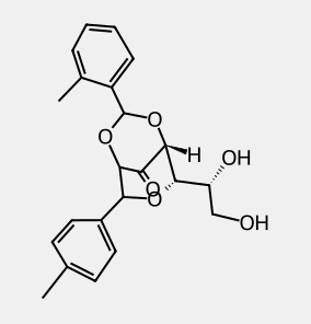 Cc1ccc(C2O[C@@H]([C@H](O)CO)[C@H]3OC(c4ccccc4C)OC2C3=O)cc1